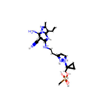 CCc1c(C)nn2c(N)c(C#N)c(NCCc3ccn(C4(COS(C)(=O)=O)CC4)n3)nc12